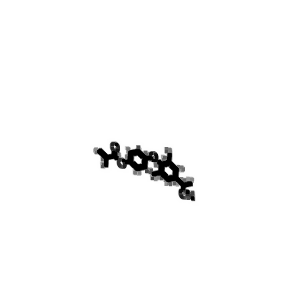 C=C(C)C(=O)Oc1ccc(Oc2c(C)cc(C(C)C#N)cc2C)cc1